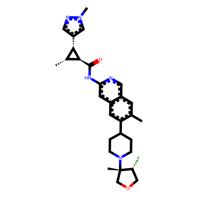 Cc1cc2cnc(NC(=O)[C@H]3[C@H](C)[C@@H]3c3cnn(C)c3)cc2cc1C1CCN([C@@]2(C)COC[C@H]2F)CC1